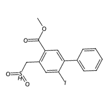 COC(=O)c1cc(-c2ccccc2)c(I)cc1C[SH](=O)=O